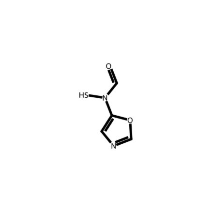 O=CN(S)c1cnco1